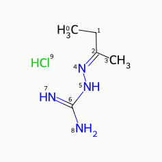 CCC(C)=NNC(=N)N.Cl